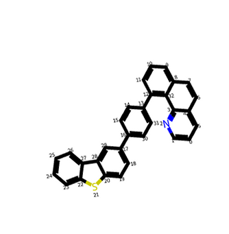 c1cnc2c(c1)ccc1cccc(-c3ccc(-c4ccc5sc6ccccc6c5c4)cc3)c12